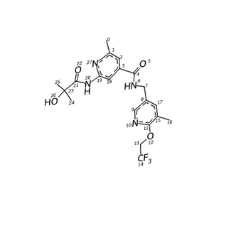 Cc1cc(C(=O)NCc2cnc(OCC(F)(F)F)c(C)c2)cc(NC(=O)C(C)(C)O)n1